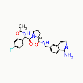 CC(=O)NC(C(=O)N1CCC[C@H]1C(=O)NCc1ccc2c(N)nccc2c1)c1ccc(F)cc1